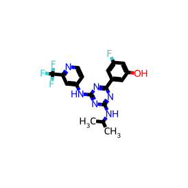 CC(C)Nc1nc(Nc2ccnc(C(F)(F)F)c2)nc(-c2cc(O)cc(F)c2)n1